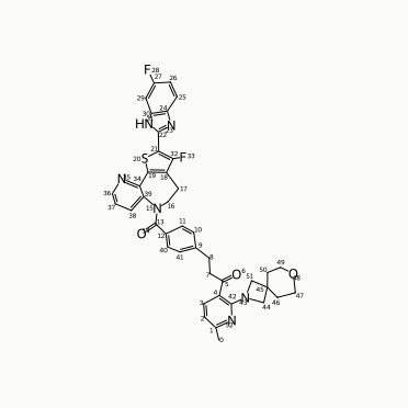 Cc1ccc(C(=O)CCc2ccc(C(=O)N3CCc4c(sc(-c5nc6ccc(F)cc6[nH]5)c4F)-c4ncccc43)cc2)c(N2CC3(CCOCC3)C2)n1